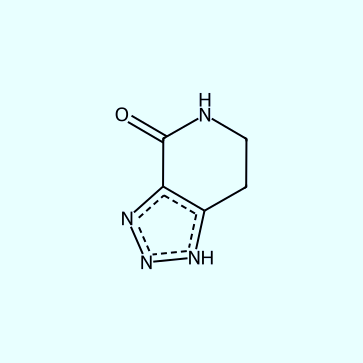 O=C1NCCc2[nH]nnc21